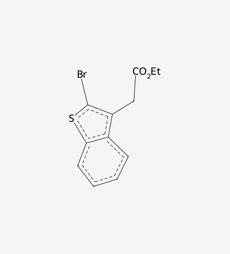 CCOC(=O)Cc1c(Br)sc2ccccc12